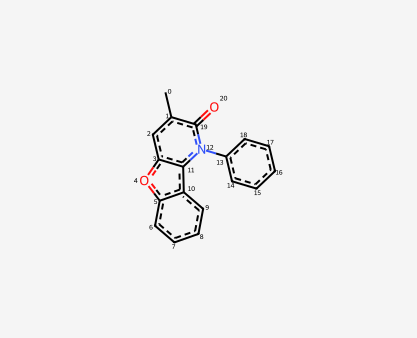 Cc1cc2oc3ccccc3c2n(-c2ccccc2)c1=O